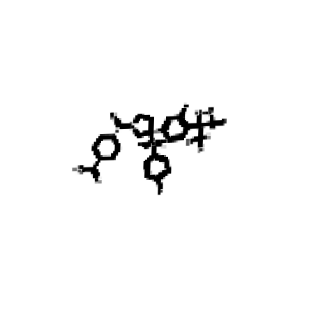 O=C(O)[C@H]1CC[C@H](C(=O)N2CC[C@](c3ccc(C(O)(C(F)(F)F)C(F)(F)F)c(F)c3)(S(=O)(=O)c3ccc(F)cc3)C2)CC1